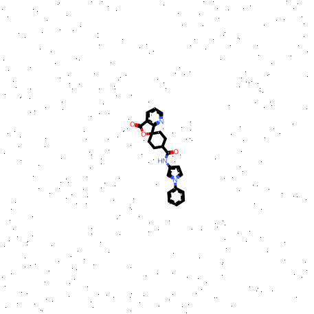 O=C1OC2(CCC(C(=O)Nc3ccn(-c4ccccc4)c3)CC2)c2ncccc21